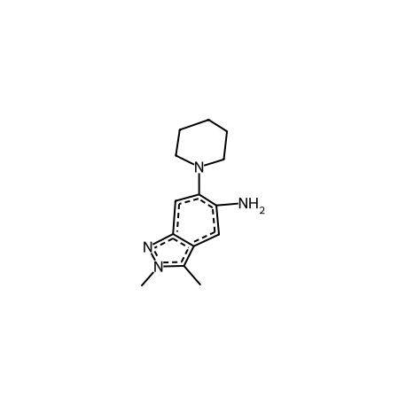 Cc1c2cc(N)c(N3CCCCC3)cc2nn1C